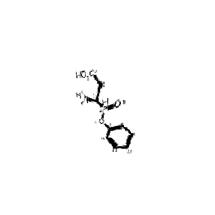 NC(CC(=O)O)[PH](=O)Oc1ccccc1